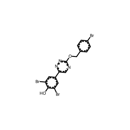 Oc1c(Br)cc(-c2cnc(OCc3ccc(Br)cc3)nn2)cc1Br